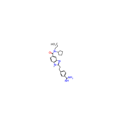 Cn1c(CCc2ccc(C(=N)N)cc2)nc2cc(C(=O)N(CCC(=O)O)C3CCCC3)ccc21